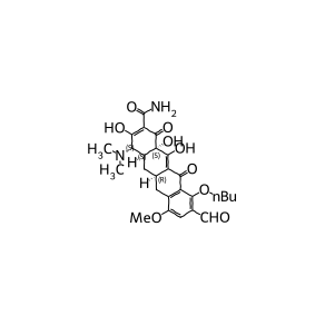 CCCCOc1c(C=O)cc(OC)c2c1C(=O)C1=C(O)[C@]3(O)C(=O)C(C(N)=O)=C(O)[C@@H](N(C)C)[C@@H]3C[C@@H]1C2